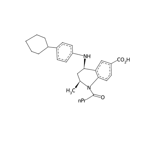 CCCC(=O)N1c2ccc(C(=O)O)cc2[C@H](Nc2ccc(C3CCCCC3)cc2)C[C@@H]1C